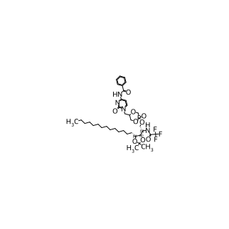 CCCCCCCCCCCCCC[C@H]1OC(C)(C)O[C@H]1[C@H](COP1(=O)COC(Cn2ccc(NC(=O)c3ccccc3)nc2=O)CO1)NC(=O)C(F)(F)F